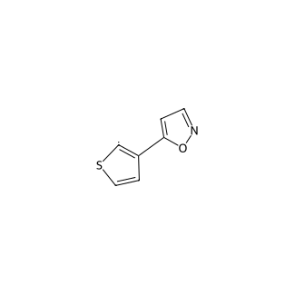 [c]1sccc1-c1ccno1